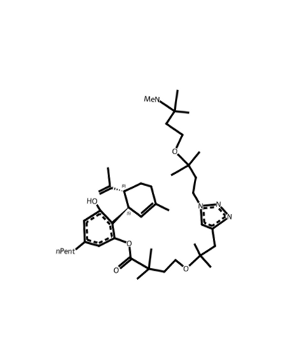 C=C(C)[C@@H]1CCC(C)=C[C@H]1c1c(O)cc(CCCCC)cc1OC(=O)C(C)(C)CCOC(C)(C)Cc1cn(CCC(C)(C)OCCC(C)(C)NC)nn1